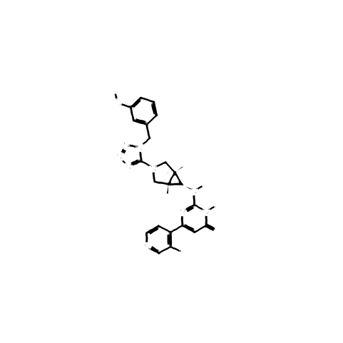 CN(c1nc(-c2ccncc2F)cc(=O)n1C)[C@H]1[C@@H]2CN(c3nnnn3Cc3cccc(OC(F)(F)F)c3)C[C@@H]21